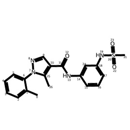 Cc1ccccc1-n1ncc(C(=O)Nc2cccc(NS(C)(=O)=O)c2)c1C